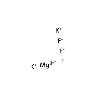 [F-].[F-].[F-].[F-].[K+].[K+].[Mg+2]